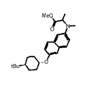 COC(=O)C(C)N(C)c1ccc2cc(O[C@H]3CC[C@H](C(C)(C)C)CC3)ccc2c1